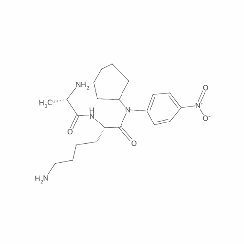 C[C@H](N)C(=O)N[C@@H](CCCCN)C(=O)N(c1ccc([N+](=O)[O-])cc1)C1CCCCC1